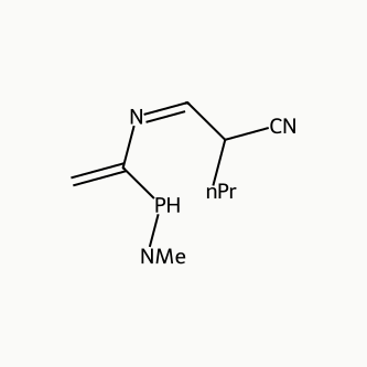 C=C(/N=C\C(C#N)CCC)PNC